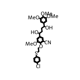 COc1cc(C(O)CCC(O)c2cc(OC)c(OC)c(OC)c2)cc(C#N)c1OCCSc1ccc(Cl)cc1